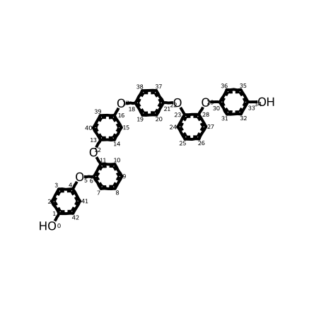 Oc1ccc(Oc2ccccc2Oc2ccc(Oc3ccc(Oc4ccccc4Oc4ccc(O)cc4)cc3)cc2)cc1